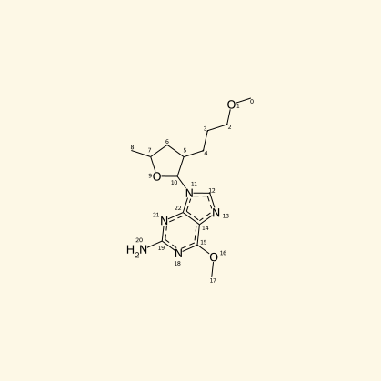 COCCCC1CC(C)OC1n1cnc2c(OC)nc(N)nc21